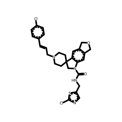 O=C(NCc1cnc(Cl)s1)N1CC2(CCN(CC=Cc3ccc(Cl)cc3)CC2)c2cc3c(cc21)COC3